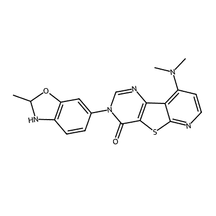 CC1Nc2ccc(-n3cnc4c(sc5nccc(N(C)C)c54)c3=O)cc2O1